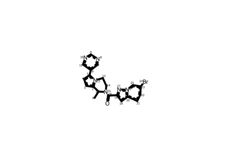 CC1c2ccc(-c3cncnc3)n2CCN1C(=O)c1cc2ccc(Br)cn2n1